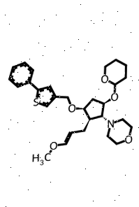 COC=CC[C@@H]1[C@@H](N2CCOCC2)[C@H](OC2CCCCO2)C[C@@H]1OCc1csc(-c2ccccc2)c1